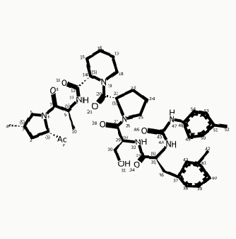 CC(=O)[C@@H]1C[C@H](C)CN1C(=O)[C@H](C)NC(=O)[C@@H]1CCCCN1C(=O)[C@@H]1CCCN1C(=O)[C@H](CO)NC(=O)[C@H](Cc1cccc(C)c1)NC(=O)Nc1ccc(C)cc1